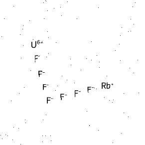 [F-].[F-].[F-].[F-].[F-].[F-].[F-].[Rb+].[U+6]